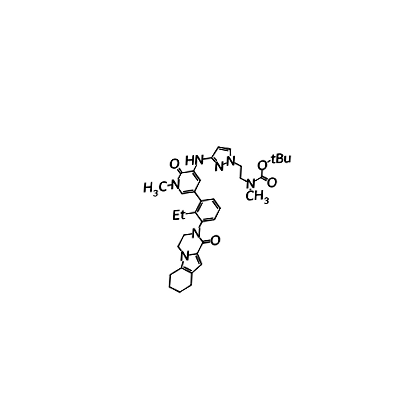 CCc1c(-c2cc(Nc3ccn(CCN(C)C(=O)OC(C)(C)C)n3)c(=O)n(C)c2)cccc1N1CCn2c(cc3c2CCCC3)C1=O